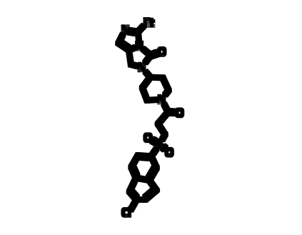 CCc1ncc2n1C(=O)N(C1CCN(C(=O)CCS(=O)(=O)c3ccc4cc(Cl)ccc4c3)CC1)C2